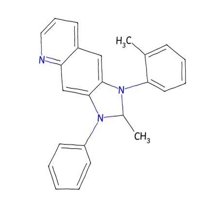 Cc1ccccc1N1c2cc3cccnc3cc2N(c2ccccc2)C1C